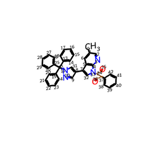 Cc1cnc2c(c1)c(-c1cnn(C(c3ccccc3)(c3ccccc3)c3ccccc3)c1)cn2S(=O)(=O)c1ccccc1